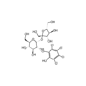 OC[C@H]1O[C@@](CO)(O[C@H]2O[C@H](CO)[C@@H](O)[C@H](O)[C@H]2O)[C@@H](O)[C@@H]1O.Oc1c(Cl)c(Cl)c(Cl)c(Cl)c1Cl